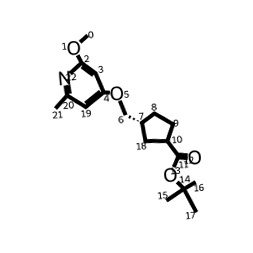 COc1cc(OC[C@@H]2CCC(C(=O)OC(C)(C)C)C2)cc(C)n1